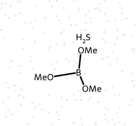 COB(OC)OC.S